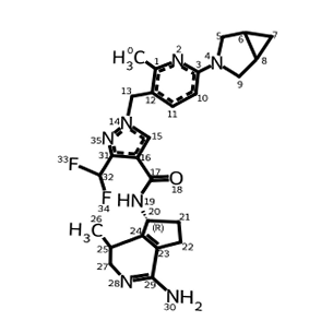 Cc1nc(N2CC3CC3C2)ccc1Cn1cc(C(=O)N[C@@H]2CCC3=C2C(C)CN=C3N)c(C(F)F)n1